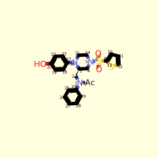 CC(=O)N(C[C@H]1CN(S(=O)(=O)c2cccs2)CCN1c1ccc(O)cc1)c1ccccc1